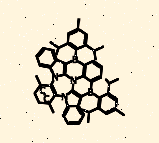 Cc1cc(C(C)C)c(B2c3cccc4c3-n3c5c2c2ccccc2n5c2c(n5c6ccccc6c(c35)B4c3c(C(C)C)cc(C)cc3C(C)C)C3(C)CCC2(C)CC3)c(C(C)C)c1